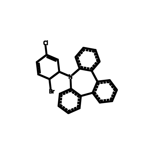 ClC1=CC(N2c3ccccc3-c3ccccc3-c3ccccc32)C(Br)C=C1